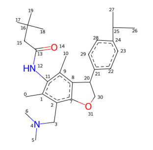 Cc1c(CN(C)C)c2c(c(C)c1NC(=O)CC(C)(C)C)C(c1ccc(C(C)C)cc1)CO2